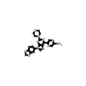 Nc1cnc(-c2nc(N3CCOCC3)nc3c2ncn3-c2ccc3c(c2)OCO3)cn1